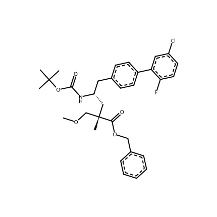 COC[C@](C)(C[C@@H](Cc1ccc(-c2cc(Cl)ccc2F)cc1)NC(=O)OC(C)(C)C)C(=O)OCc1ccccc1